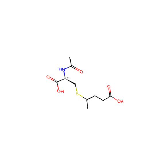 CC(=O)N[C@@H](CSC(C)CCC(=O)O)C(=O)O